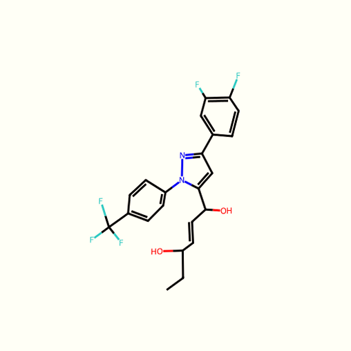 CCC(O)/C=C/C(O)c1cc(-c2ccc(F)c(F)c2)nn1-c1ccc(C(F)(F)F)cc1